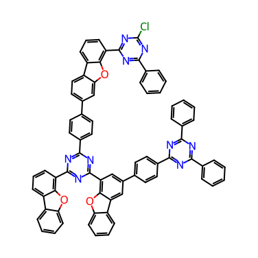 Clc1nc(-c2ccccc2)nc(-c2cccc3c2oc2cc(-c4ccc(-c5nc(-c6cccc7c6oc6ccccc67)nc(-c6cc(-c7ccc(-c8nc(-c9ccccc9)nc(-c9ccccc9)n8)cc7)cc7c6oc6ccccc67)n5)cc4)ccc23)n1